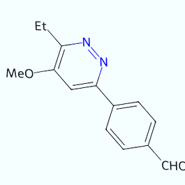 CCc1nnc(-c2ccc(C=O)cc2)cc1OC